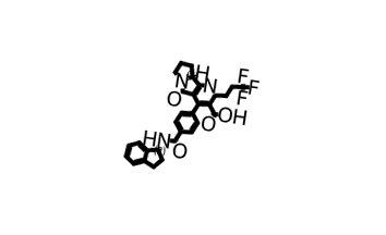 O=C(N[C@@H]1CCc2ccccc21)c1ccc(-c2c(C(=O)O)c(CCC(F)(F)F)nc3c2C(=O)N2CCC[C@@H]32)cc1